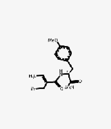 CC=C(CC(C)C)C(=O)N[C@@H](Cc1ccc(OC)cc1)C(=O)NC